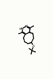 CC1=NNC(C)=C2CCCC(OC(C)(C)C)CCC12